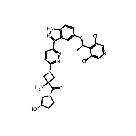 C[C@@H](Oc1ccc2[nH]nc(-c3ccc(N4CC(N)(C(=O)N5CC[C@H](O)C5)C4)nn3)c2c1)c1c(Cl)cncc1Cl